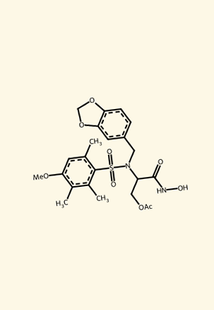 COc1cc(C)c(S(=O)(=O)N(Cc2ccc3c(c2)OCO3)C(COC(C)=O)C(=O)NO)c(C)c1C